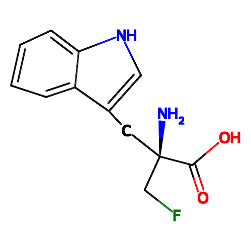 N[C@@](CF)(Cc1c[nH]c2ccccc12)C(=O)O